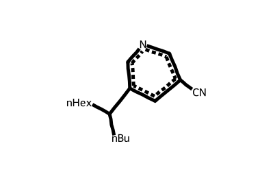 CCCCCCC(CCCC)c1cncc(C#N)c1